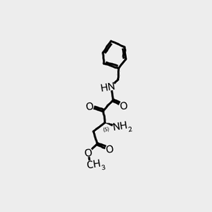 COC(=O)C[C@H](N)C(=O)C(=O)NCc1ccccc1